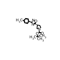 Cc1ccc(-c2noc([C@H]3CCN(C(=O)OC(C)(C)C)C3)n2)cc1